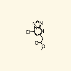 COC(=O)Cc1cc(Cl)n2ncnc2n1